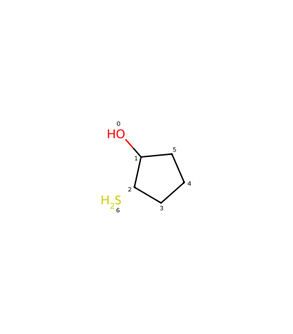 OC1CCCC1.S